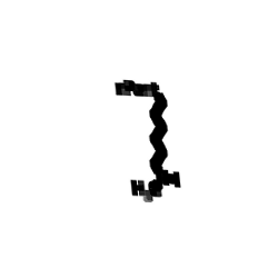 CCCCCCCCCCCN(C)I